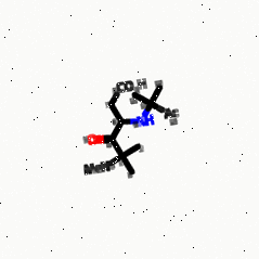 CNC(C)(C)C(=O)C(CC(=O)O)NC(C)(C)C(C)=O